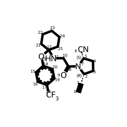 C#C[C@H]1CC[C@@H](C#N)N1C(=O)CNC1(Oc2ccc(C(F)(F)F)cc2)CCCCC1